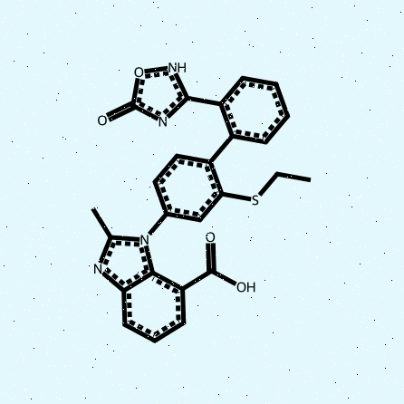 CCSc1cc(-n2c(C)nc3cccc(C(=O)O)c32)ccc1-c1ccccc1-c1nc(=O)o[nH]1